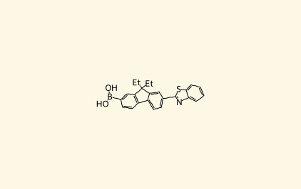 CCC1(CC)c2cc(B(O)O)ccc2-c2ccc(-c3nc4ccccc4s3)cc21